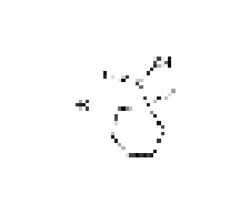 Cl.O=C(O)C1(Br)CCCCC1